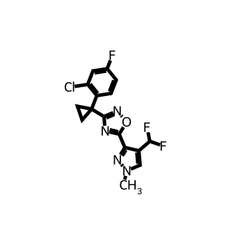 Cn1cc(C(F)F)c(-c2nc(C3(c4ccc(F)cc4Cl)CC3)no2)n1